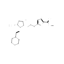 COC(=O)c1ccc(CCC[C@@H]2[C@H](C=CC3CCCCC3)[C@H](O)C[C@@H]2Cl)s1